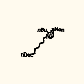 CCCCCCCCCCCCCCCC[n+]1ccn(CCCCCCCCC)c1CCCC